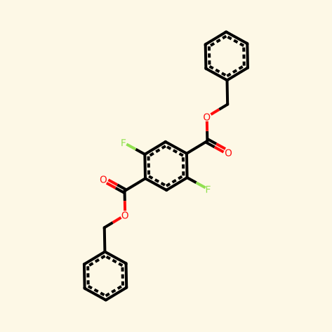 O=C(OCc1ccccc1)c1cc(F)c(C(=O)OCc2ccccc2)cc1F